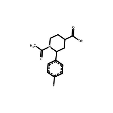 CC(=O)N1CCC(C(=O)O)CC1c1ccc(F)cc1